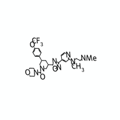 CNCCN(C)c1cc(-c2noc(C3CC(c4ccc(OC(F)(F)F)cc4)CN(C(=O)N4CCOCC4)C3)n2)ccn1